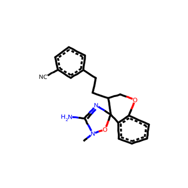 CN1OC2(N=C1N)c1ccccc1OCC2CCc1cccc(C#N)c1